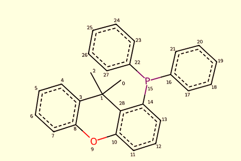 CC1(C)c2ccccc2Oc2cccc(P(c3ccccc3)c3ccccc3)c21